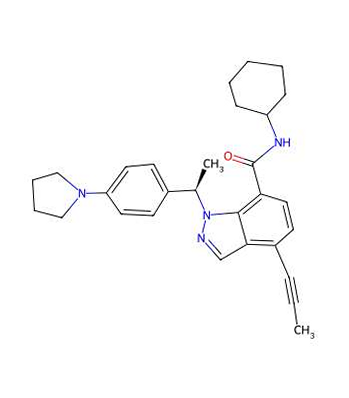 CC#Cc1ccc(C(=O)NC2CCCCC2)c2c1cnn2[C@H](C)c1ccc(N2CCCC2)cc1